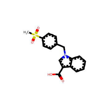 CS(=O)(=O)c1ccc(Cn2cc(C(=O)O)c3ccccc32)cc1